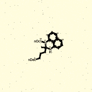 CCCCCCCCCCCCCC1(C)Nc2cccc3cccc(c23)N1CCCCCCCC